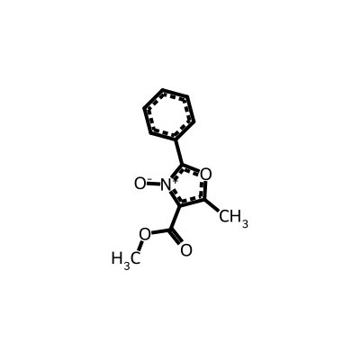 COC(=O)c1c(C)oc(-c2ccccc2)[n+]1[O-]